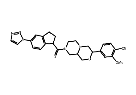 COc1cc(C2CN3CCN(C(=O)C4CCc5cc(-n6cnnn6)ccc54)CC3CO2)ccc1C#N